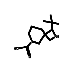 CC(C)(C)C1NCC12CCCN(C(=O)O)C2